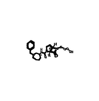 O=C(N[C@H]1CCCCN(Cc2ccccc2)C1)N1CC[C@@H]2[C@H]1C(=O)N2SOOO